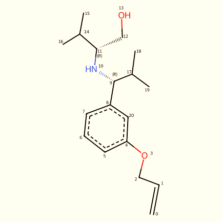 C=CCOc1cccc([C@H](N[C@@H](CO)C(C)C)C(C)C)c1